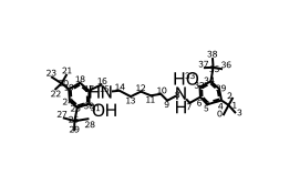 CC(C)(C)c1cc(CNCCCCCCNCc2cc(C(C)(C)C)cc(C(C)(C)C)c2O)c(O)c(C(C)(C)C)c1